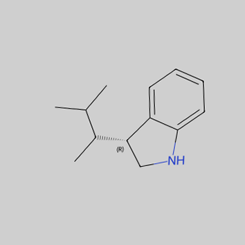 CC(C)C(C)[C@H]1CNc2ccccc21